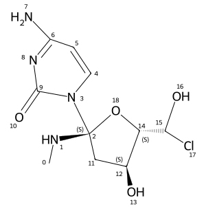 CN[C@]1(n2ccc(N)nc2=O)C[C@H](O)[C@@H](C(O)Cl)O1